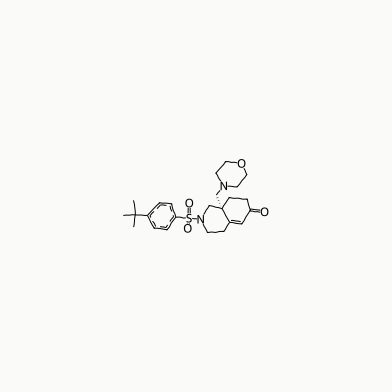 CC(C)(C)c1ccc(S(=O)(=O)N2CCC3=CC(=O)CC[C@]3(CN3CCOCC3)C2)cc1